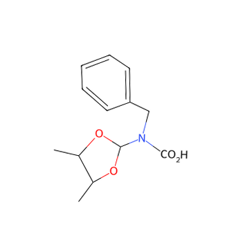 CC1OC(N(Cc2ccccc2)C(=O)O)OC1C